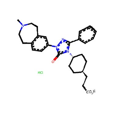 CN1CCc2ccc(-n3nc(-c4ccccc4)n([C@H]4CC[C@H](CCC(=O)O)CC4)c3=O)cc2CC1.Cl